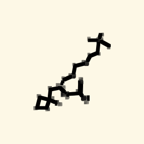 C[Si](C)(C)CCOCOC[C@@H](CC1(F)CCC1)NC(=O)O